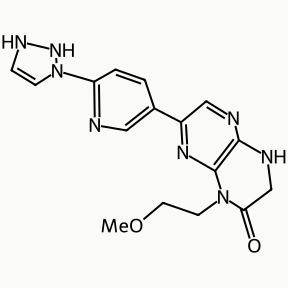 COCCN1C(=O)CNc2ncc(-c3ccc(N4C=CNN4)nc3)nc21